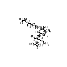 C[C@@H](O)[C@H](N)C(=O)O.NCC(=O)O.NCC(=O)O.NCCCC[C@H](N)C(=O)O.NCCCC[C@H](N)C(=O)O.N[C@@H](CO)C(=O)O